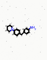 Nc1ccc(Cc2ccc(N3CCCCC3)cc2)cc1